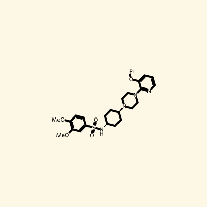 COc1ccc(S(=O)(=O)N[C@H]2CC[C@H](N3CCN(c4ncccc4OC(C)C)CC3)CC2)cc1OC